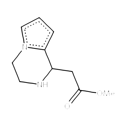 COC(=O)CC1NCCn2cccc21